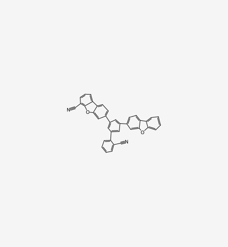 N#Cc1ccccc1-c1cc(-c2ccc3c(c2)oc2ccccc23)cc(-c2ccc3c(c2)oc2c(C#N)cccc23)c1